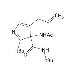 C=CCC1=CN=C(C(C)(C)C)C1(NC(C)=O)C(=O)NC(C)(C)C